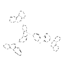 CC1(C)c2cc(-c3cc4ccccc4c4ccccc34)ccc2-c2ccc(-n3c4ccc(-c5cc6ccccc6c6ccccc56)cc4c4cc(-c5cc6ccccc6c6ccccc56)ccc43)cc21